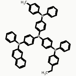 CCc1ccc(N(c2ccccc2)c2ccc(N(c3ccc(N(c4ccccc4)c4ccc(C)cc4)cc3)c3ccc(N(c4ccccc4)c4ccc5ccccc5c4)cc3)cc2)cc1